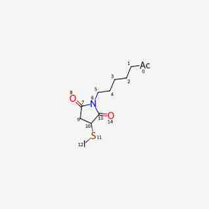 CC(=O)CCCCCN1C(=O)CC(SI)C1=O